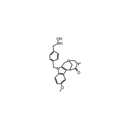 COc1ccc2c(c1)c1c(n2Cc2ccc(CNO)cc2)CN2CC1C(=O)N(C)C2